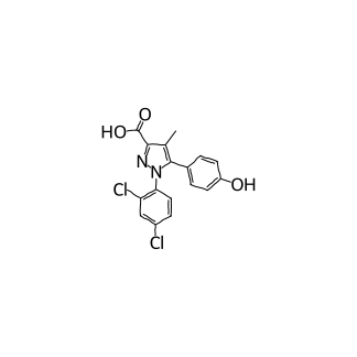 Cc1c(C(=O)O)nn(-c2ccc(Cl)cc2Cl)c1-c1ccc(O)cc1